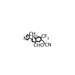 Cn1cncc1-c1cc(C=O)c2cc(CCC#N)c(C(F)(F)F)cc2n1